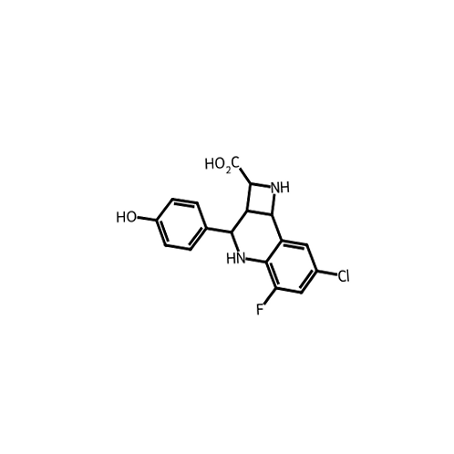 O=C(O)C1NC2c3cc(Cl)cc(F)c3NC(c3ccc(O)cc3)C12